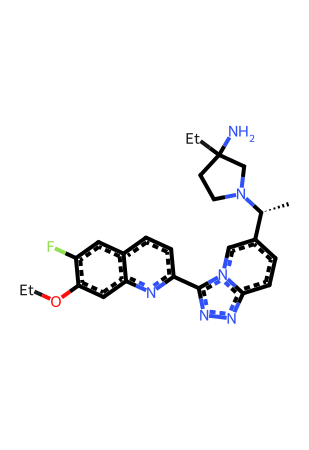 CCOc1cc2nc(-c3nnc4ccc([C@@H](C)N5CCC(N)(CC)C5)cn34)ccc2cc1F